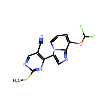 CSc1ncc(C#N)c(-c2cnc3c(OC(F)F)cccn23)n1